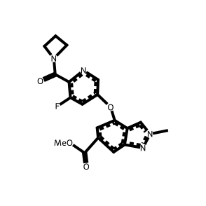 COC(=O)c1cc(Oc2cnc(C(=O)N3CCC3)c(F)c2)c2cn(C)nc2c1